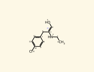 CCN/C(=C/O)Cc1ccc(Cl)cc1